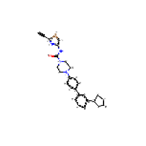 C#Cc1nc(NC(=O)N2CCN(c3ccc(-c4cccc(C5CCCC5)c4)cc3)CC2)cs1